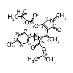 C=C(C1=C(OC(=O)OC(C)C)CN(C)C1=O)N(Nc1ccc(Cl)cc1)C(=O)OC(C)C